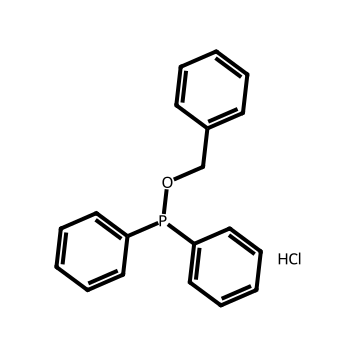 Cl.c1ccc(COP(c2ccccc2)c2ccccc2)cc1